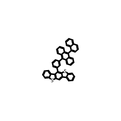 c1cc(-c2c3ccccc3c(-c3cccc4ccccc34)c3ccccc23)cc(-c2c3sc4ccccc4c3cc3sc4ccccc4c23)c1